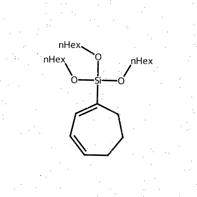 CCCCCCO[Si](OCCCCCC)(OCCCCCC)C1=CC=CCCC1